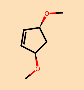 CO[C@@H]1C=C[C@H](OC)C1